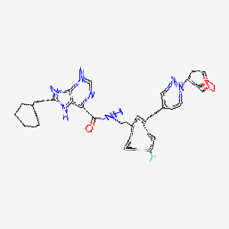 O=C(NCc1cc(F)cc(-c2cnn(-c3ccoc3)c2)c1)c1ncnc2nc(C3CCCC3)[nH]c12